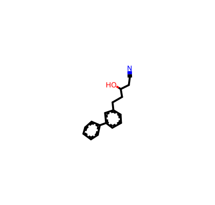 N#CCC(O)CCc1cccc(-c2ccccc2)c1